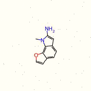 Cn1c(N)cc2ccc3ccoc3c21